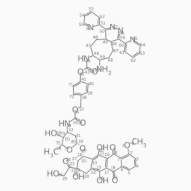 COc1cccc2c1C(=O)c1c(O)c3c(c(O)c1C2=O)C[C@@](O)(C(=O)CO)C[C@@H]3O[C@H]1CC(NC(=O)OCc2ccc(OC(=O)NC3CCC4C(c5ccccn5)=NN=C(c5ccccn5)C4CCC3N)cc2)[C@H](O)C(C)O1